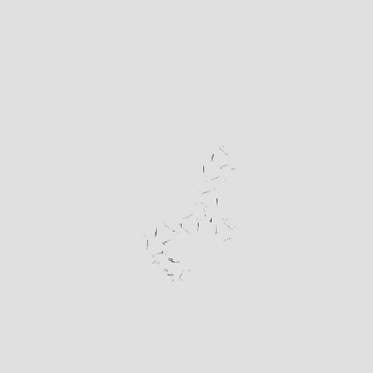 c1ccc(N(c2ccc(-c3ccc4ccccc4c3)cc2)c2ccc(-c3ccc4ccc5oc6ncccc6c5c4c3)cc2)cc1